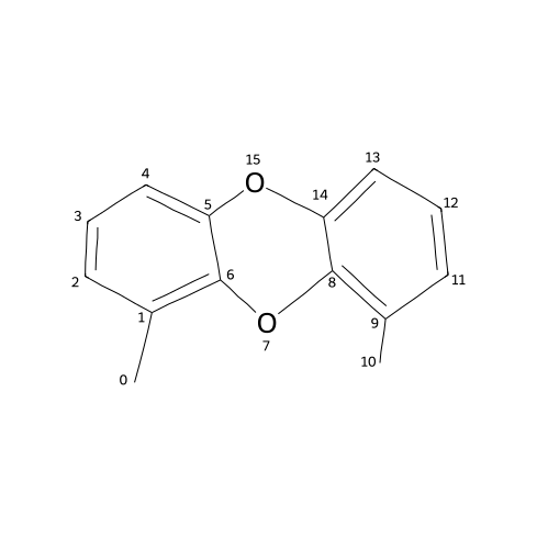 Cc1cccc2c1Oc1c(C)cccc1O2